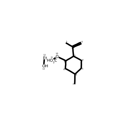 C=C(C)C1CCC(C)CC1OC(=O)O.CCO